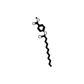 CCCCCCCCCCCC(Cl)Oc1ccc(C(=O)OC)cc1